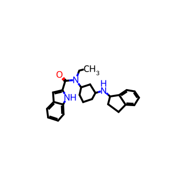 CCN(C(=O)c1cc2ccccc2[nH]1)C1CCCC(NC2CCc3ccccc32)C1